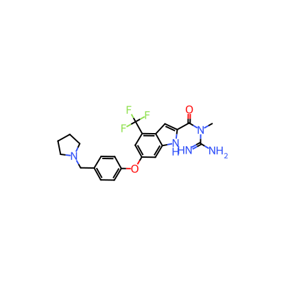 CN(C(=N)N)C(=O)c1cc2c(C(F)(F)F)cc(Oc3ccc(CN4CCCC4)cc3)cc2[nH]1